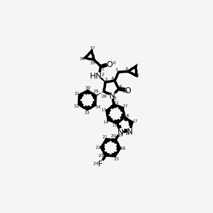 O=C(N[C@H]1C(CC2CC2)C(=O)N(c2ccc3c(cnn3-c3ccc(F)cc3)c2)[C@@H]1c1ccccc1)C1CC1